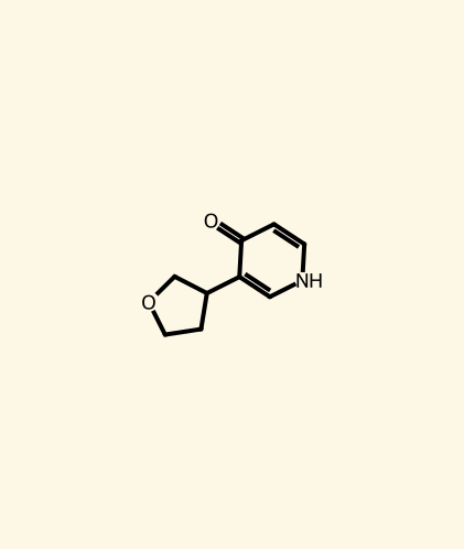 O=c1cc[nH]cc1C1CCOC1